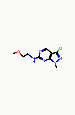 COCCNc1ncc2c(Cl)nn(C)c2n1